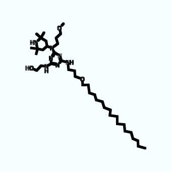 CCCCCCCCCCCCCCCCCCOCCCNc1nc(NCCO)nc(N(CCCOC)C2CC(C)(C)NC(C)(C)C2)n1